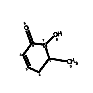 CC1CC=CC(=O)N1O